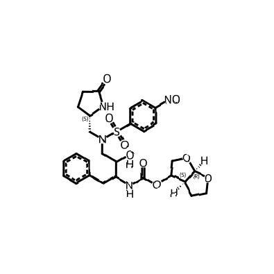 O=Nc1ccc(S(=O)(=O)N(CC(O)C(Cc2ccccc2)NC(=O)OC2CO[C@H]3OCC[C@@H]23)C[C@@H]2CCC(=O)N2)cc1